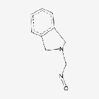 O=NCN1Cc2ccccc2C1